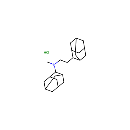 CN(CCC1C2CC3CC(C2)CC1C3)C1C2CC3CC(C2)CC1C3.Cl